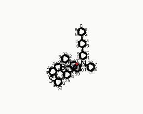 c1ccc(-c2ccc(-c3ccc(N(c4ccccc4)c4ccc(-c5cccc6c5[Si](c5ccccc5)(c5ccccc5)c5ccc7ccc8sc9ccccc9c8c7c5-6)cc4)cc3)cc2)cc1